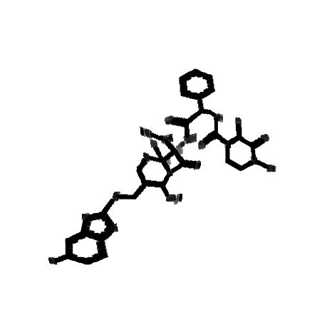 CCN1CCN(C(=O)NC(C(=O)N[C@]2(NO)C(=O)N3C(C(=O)O)=C(CSc4nc5cc(Cl)ccc5s4)CS[C@@H]32)c2ccccc2)C(=O)C1=O